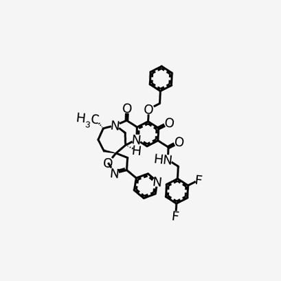 C[C@H]1CC[C@]2(CC(c3cccnc3)=NO2)[C@H]2CN1C(=O)c1c(OCc3ccccc3)c(=O)c(C(=O)NCc3ccc(F)cc3F)cn12